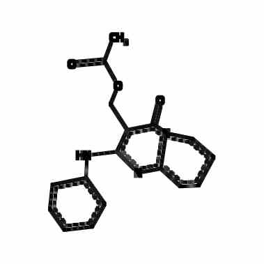 CC(=O)OCc1c(Nc2ccccc2)nc2ccccn2c1=O